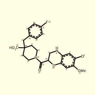 COc1cc2c(cc1Cl)NCC(C(=O)N1CCC(Cc3ccc(F)cc3)(C(=O)O)CC1)O2